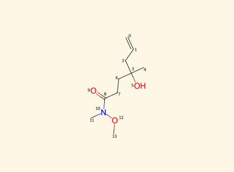 C=CCC(C)(O)CCC(=O)N(C)OC